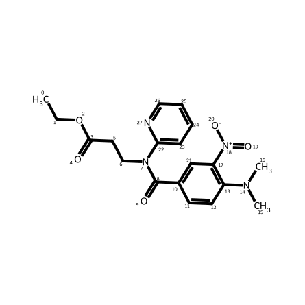 CCOC(=O)CCN(C(=O)c1ccc(N(C)C)c([N+](=O)[O-])c1)c1ccccn1